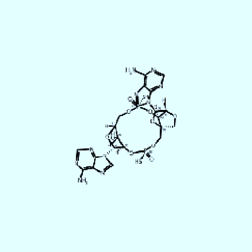 Nc1ncnc2c1ncn2[C@@H]1O[C@@H]2CO[P@](=O)(S)O[C@H]3[C@H]4OC[C@]3(CO[P@@](=O)(S)O[C@@H]1[C@@H]2O)O[C@H]4n1cnc2c(N)ncnc21